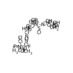 Cc1c(S(C)(=O)=O)c(-c2cc(F)cc(N3CCN(c4ccc(NS(=O)(=O)c5ccc(N[C@H](CCN6CCC(C)(C(=O)OC(C)CP(=O)(O)O)CC6)CSc6ccccc6)c(S(=O)(=O)C(F)(F)F)c5)cc4)CC3)c2)c(-c2ccc(Cl)cc2)n1C(C)C